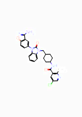 Cc1ncc(Cl)cc1C(=O)NC1CCC(Cn2c(=O)n(-c3ccc4onc(N)c4c3)c3ccccc32)CC1